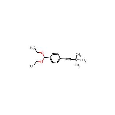 CCOC(OCC)c1ccc(C#C[Si](C)(C)C)cc1